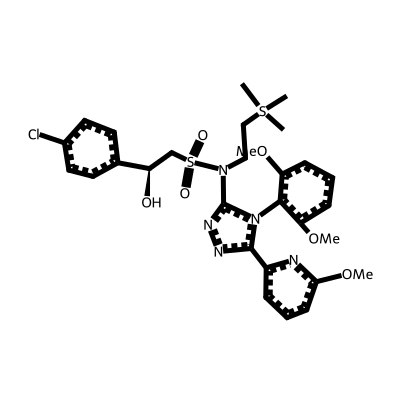 COc1cccc(-c2nnc(N(CCS(C)(C)C)S(=O)(=O)C[C@@H](O)c3ccc(Cl)cc3)n2-c2c(OC)cccc2OC)n1